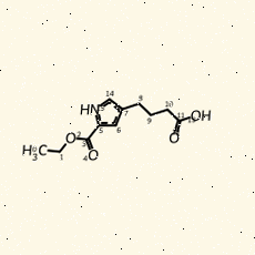 CCOC(=O)c1cc(CCCC(=O)O)c[nH]1